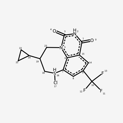 O=c1[nH]c(=O)n2c3c(cc(C(F)(F)F)cc13)[SH](Cl)CC(C1CC1)C2